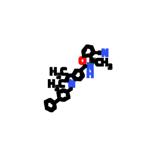 Cc1c(C)n(Cc2ccc(-c3ccccc3)cc2)c2ccc(C(=O)N[C@H](C)c3ccccc3C#N)cc12